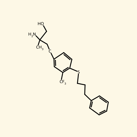 CC(N)(CO)CCc1ccc(SCCCc2ccccc2)c(C(F)(F)F)c1